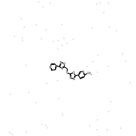 Cc1ccc(-c2nnc(SCc3nc(-c4ccncc4)no3)o2)cn1